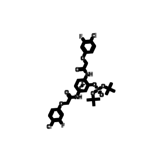 CC(C)(C)OP(=O)(OC1CC2(NC(=O)COc3ccc(Cl)c(F)c3)CCC1(NC(=O)COc1ccc(Cl)c(F)c1)CC2)OC(C)(C)C